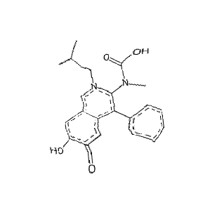 CC(C)Cn1cc2cc(O)c(=O)cc-2c(-c2ccccc2)c1N(C)C(=O)O